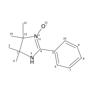 CC1(C)NC(c2ccccc2)=[N+]([O-])C1(C)C